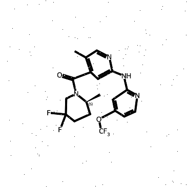 Cc1cnc(Nc2cc(OC(F)(F)F)ccn2)cc1C(=O)N1CC(F)(F)CC[C@@H]1C